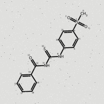 CS(=O)(=O)c1ccc(NC(=S)NC(=O)c2ccccc2)cc1